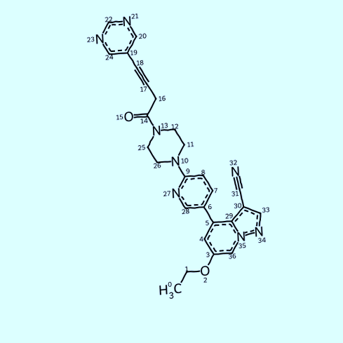 CCOc1cc(-c2ccc(N3CCN(C(=O)CC#Cc4cncnc4)CC3)nc2)c2c(C#N)cnn2c1